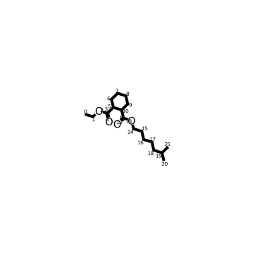 CCOC(=O)C1CCCCC1C(=O)OCCCCCC(C)C